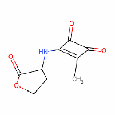 Cc1c(NC2CCOC2=O)c(=O)c1=O